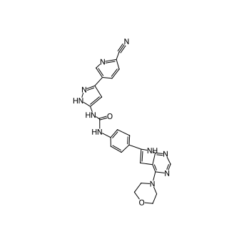 N#Cc1ccc(-c2cc(NC(=O)Nc3ccc(-c4cc5c(N6CCOCC6)ncnc5[nH]4)cc3)[nH]n2)cn1